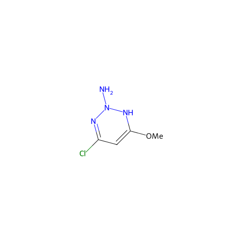 COC1=CC(Cl)=NN(N)N1